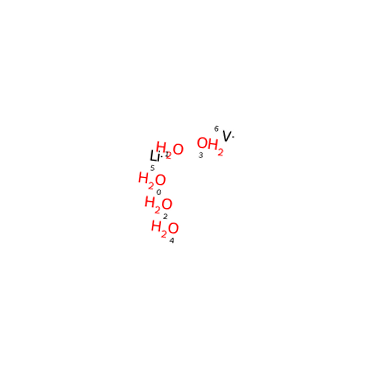 O.O.O.O.O.[Li].[V]